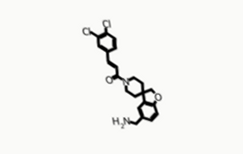 NCc1ccc2c(c1)C1(CCN(C(=O)C=Cc3ccc(Cl)c(Cl)c3)CC1)CO2